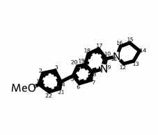 COc1ccc(-c2ccc3nc(N4CCCCC4)ccc3c2)cc1